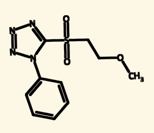 COCCS(=O)(=O)c1nnnn1-c1ccccc1